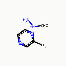 FC(F)(F)c1cnccn1.NNC=O